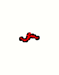 C#CN(/N=C/c1cc(OC(=O)C2CCC(COOc3ccc(OCCCCCCOC(=O)C=C)cc3)CC2)ccc1OOCC1CCC(C(=O)Oc2ccc(OCCCCCCOC(=O)C=C)cc2)CC1)c1nc2ccccc2s1